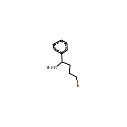 CCCCCC(CCCBr)c1ccccc1